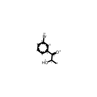 CC(O)C(=O)c1cccc(Br)c1